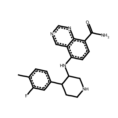 Cc1ccc(C2CCNCC2Nc2ccc(C(N)=O)c3ncncc23)cc1F